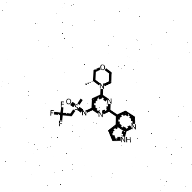 C[C@@H]1COCCN1c1cc(N=S(C)(=O)CC(F)(F)F)nc(-c2ccnc3[nH]ccc23)n1